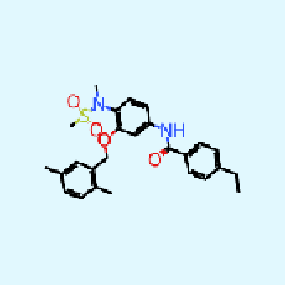 CCc1ccc(C(=O)Nc2ccc(N(C)S(C)(=O)=O)c(OCc3cc(C)ccc3C)c2)cc1